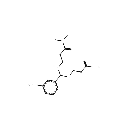 COC(=O)CCSC(SCCC(=O)N(C)C)c1cccc(OC)c1